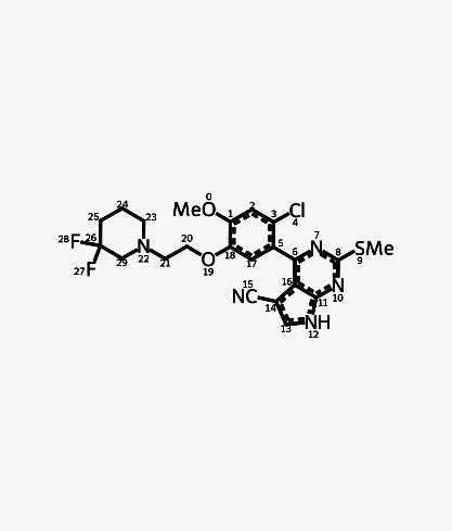 COc1cc(Cl)c(-c2nc(SC)nc3[nH]cc(C#N)c23)cc1OCCN1CCCC(F)(F)C1